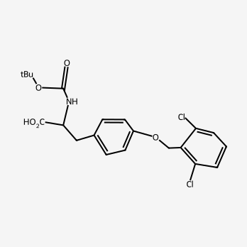 CC(C)(C)OC(=O)NC(Cc1ccc(OCc2c(Cl)cccc2Cl)cc1)C(=O)O